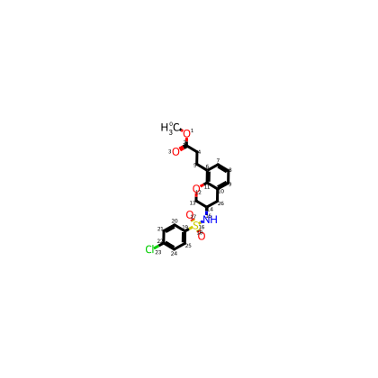 COC(=O)CCc1cccc2c1OCC(NS(=O)(=O)c1ccc(Cl)cc1)C2